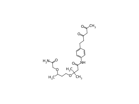 CC(=O)CC(=O)CCc1ccc(NC(=O)CC(C)(C)OCCC(C)OCC(N)=O)cc1